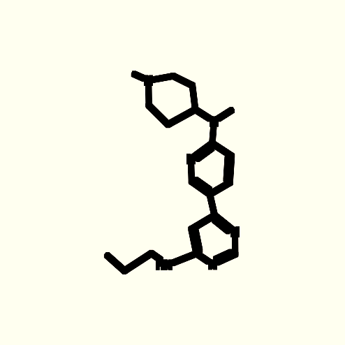 CCCNc1cc(-c2ccc(N(C)C3CCN(C)CC3)nc2)ncn1